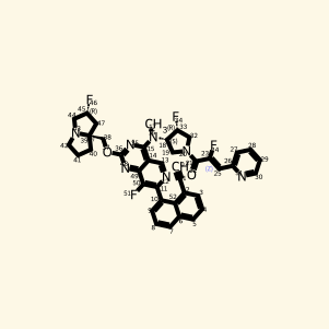 C#Cc1cccc2cccc(-c3ncc4c(N(C)[C@H]5CN(C(=O)/C(F)=C/c6ccccn6)C[C@H]5F)nc(OC[C@@]56CCCN5C[C@H](F)C6)nc4c3F)c12